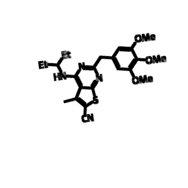 CCC(CC)Nc1nc(Cc2cc(OC)c(OC)c(OC)c2)nc2sc(C#N)c(C)c12